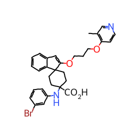 Cc1cnccc1OCCCOC1=Cc2ccccc2C12CCC(Nc1cccc(Br)c1)(C(=O)O)CC2